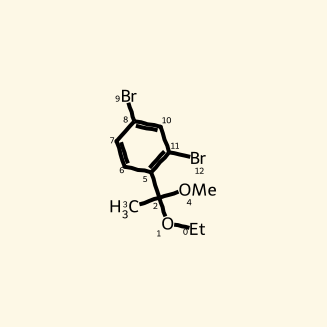 CCOC(C)(OC)c1ccc(Br)cc1Br